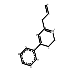 C=CCC1=NCCC(c2ccccc2)=C1